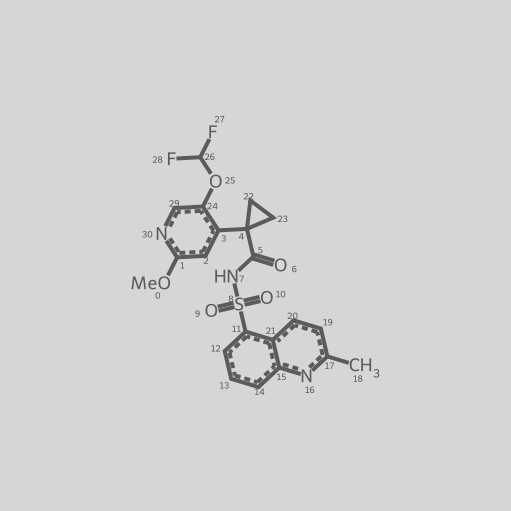 COc1cc(C2(C(=O)NS(=O)(=O)c3cccc4nc(C)ccc34)CC2)c(OC(F)F)cn1